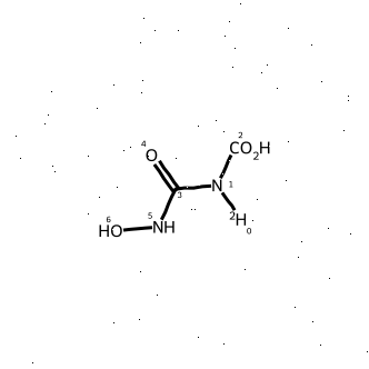 [2H]N(C(=O)O)C(=O)NO